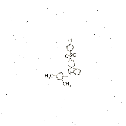 Cc1ccc(CN2CC3(CCN(S(=O)(=O)c4ccc(Cl)cc4)CC3)c3ccccc32)c(C)c1